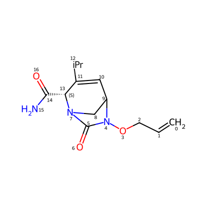 C=CCON1C(=O)N2CC1C=C(C(C)C)[C@H]2C(N)=O